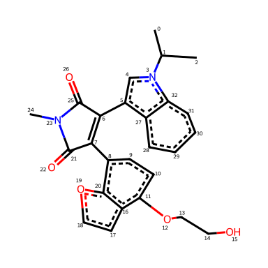 CC(C)n1cc(C2=C(c3ccc(OCCO)c4ccoc34)C(=O)N(C)C2=O)c2ccccc21